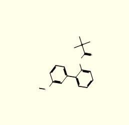 COc1cccc(-c2ccccc2OC(=O)C(C)(C)C)c1